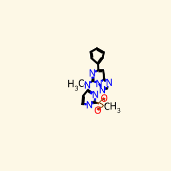 CN(c1ccnc(S(C)(=O)=O)n1)c1nc(-c2ccccc2)cc2ncnn12